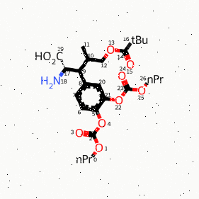 CCCOC(=O)Oc1ccc(C(C(C)COC(=O)C(C)(C)C)[C@H](N)C(=O)O)cc1OC(=O)OCCC